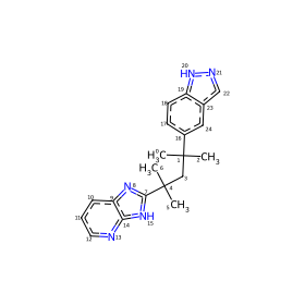 CC(C)(CC(C)(C)c1nc2cccnc2[nH]1)c1ccc2[nH]ncc2c1